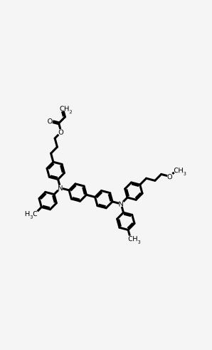 C=CC(=O)OCCCc1ccc(N(c2ccc(C)cc2)c2ccc(-c3ccc(N(c4ccc(C)cc4)c4ccc(CCCOC)cc4)cc3)cc2)cc1